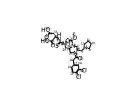 COC(=O)N1C[C@@H](CN2CCCC2)N(C(=O)Cc2ccc(Cl)c(Cl)c2)C[C@H]1CNC(=S)N[C@@H](CC(=O)O)C(=O)O